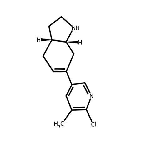 Cc1cc(C2=CC[C@@H]3CCN[C@@H]3C2)cnc1Cl